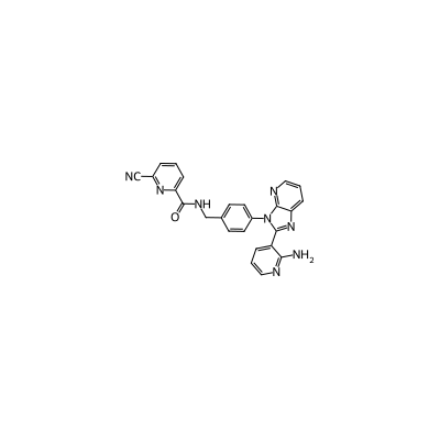 N#Cc1cccc(C(=O)NCc2ccc(-n3c(-c4cccnc4N)nc4cccnc43)cc2)n1